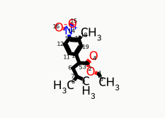 CCOC(=O)C(CC(C)C)c1ccc([N+](=O)[O-])c(C)c1